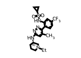 CCN1CCC[C@@H](Nc2cc(C)c(-c3ccc(C(F)(F)F)cc3NS(=O)(=O)C3CC3)nn2)C1